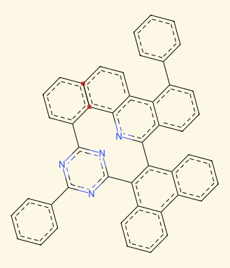 c1ccc(-c2nc(-c3ccccc3)nc(-c3c(-c4nc5ccccc5c5c(-c6ccccc6)cccc45)c4ccccc4c4ccccc34)n2)cc1